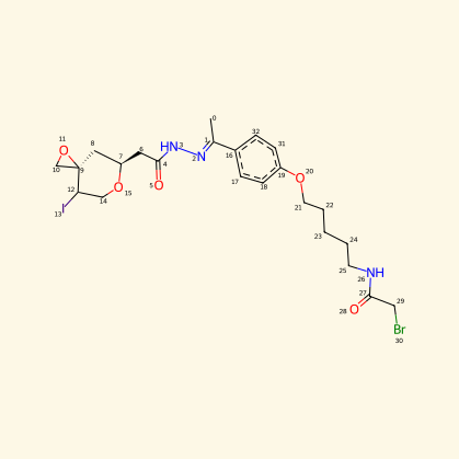 C/C(=N\NC(=O)C[C@@H]1C[C@@]2(CO2)C(I)CO1)c1ccc(OCCCCCNC(=O)CBr)cc1